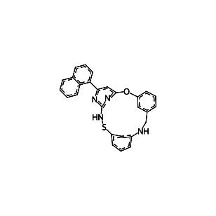 c1cc2cc(c1)Oc1cc(-c3cccc4ccccc34)nc(n1)NSc1cccc(c1)NC2